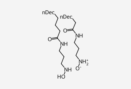 CCCCCCCCCCCC(=O)NCCC[NH2+][O-].CCCCCCCCCCCCCC(=O)NCCCNO